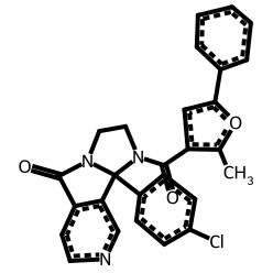 Cc1oc(-c2ccccc2)cc1C(=O)N1CCN2C(=O)c3ccncc3C21c1ccc(Cl)cc1